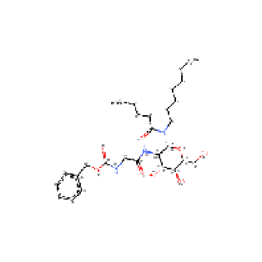 CCCCCCCCCCCCCCCCN(C(=O)CCCCCCCCCCCCC)[C@@H]1O[C@H](CO)[C@@H](O)[C@H](O)[C@H]1NC(=O)CNC(=O)OCc1ccccc1